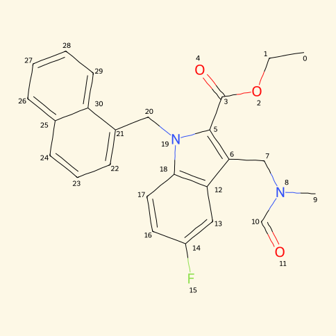 CCOC(=O)c1c(CN(C)C=O)c2cc(F)ccc2n1Cc1cccc2ccccc12